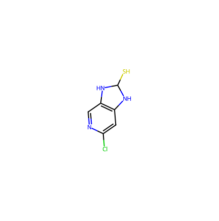 SC1Nc2cnc(Cl)cc2N1